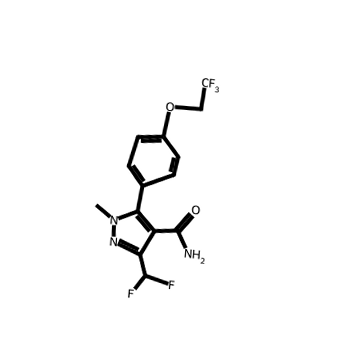 Cn1nc(C(F)F)c(C(N)=O)c1-c1ccc(OCC(F)(F)F)cc1